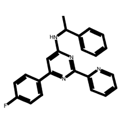 CC(Nc1cc(-c2ccc(F)cc2)nc(-c2ccccn2)n1)c1ccccc1